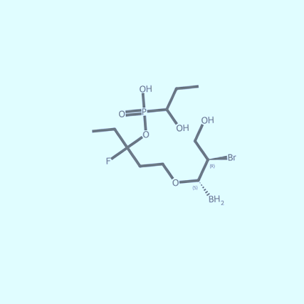 B[C@H](OCCC(F)(CC)OP(=O)(O)C(O)CC)[C@H](Br)CO